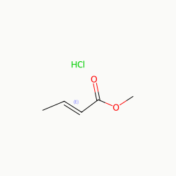 C/C=C/C(=O)OC.Cl